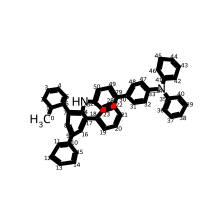 CC1CC=CC=C1c1cc(-c2ccccc2)cc(-c2ccccc2)c1Nc1ccc(-c2ccc(N(c3ccccc3)c3ccccc3)cc2)cc1